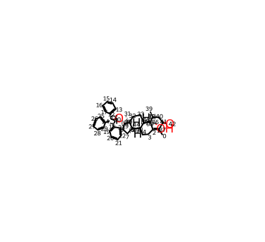 CC1=C2CC[C@H]3[C@@H]4CC[C@H](O[Si](c5ccccc5)(c5ccccc5)c5ccccc5)[C@@]4(C)CC[C@@H]3[C@@]2(CO)[C@@H](C)CC1=O